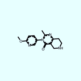 COc1ccc(-n2c(C)nc3c(c2=O)CNCC3)cn1